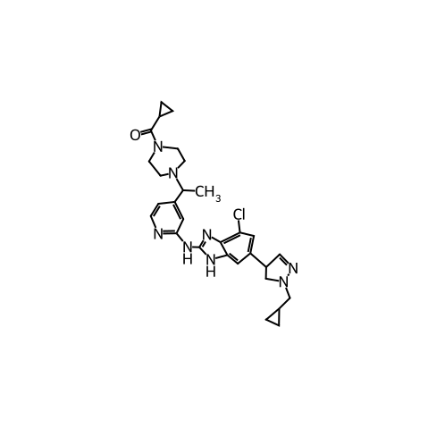 CC(c1ccnc(Nc2nc3c(Cl)cc(C4C=NN(CC5CC5)C4)cc3[nH]2)c1)N1CCN(C(=O)C2CC2)CC1